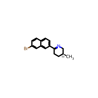 C[C@H]1CCC(c2ccc3ccc(Br)cc3c2)=NC1